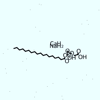 CCCCCCCCCCCCCCCCCC(=O)OP(=O)(O)OCC(=O)O.[CaH2].[NaH]